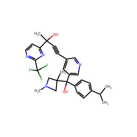 CC(C)c1ccc(C(O)(c2cncc(C#CC(C)(O)c3ccnc(C(F)(F)F)n3)c2)C2(C)CN(C)C2)cc1